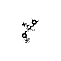 CC(C)(C)OC(=O)N[C@@H](Cc1cc(F)cc(F)c1)C(O)CNCc1cccc(NS(C)(=O)=O)c1